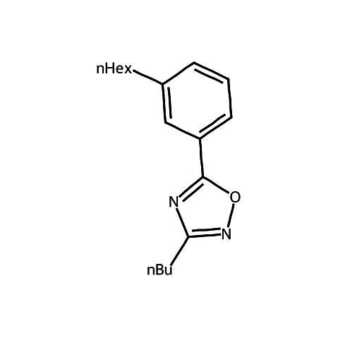 [CH2]CCCc1noc(-c2cccc(CCCCCC)c2)n1